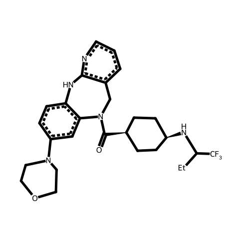 CCC(N[C@H]1CC[C@@H](C(=O)N2Cc3cccnc3Nc3ccc(N4CCOCC4)cc32)CC1)C(F)(F)F